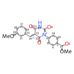 COC(=O)c1ccc(N2C(=O)NC(=O)/C(=C\c3cccc(OC)c3)C2=O)cc1